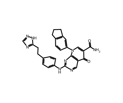 NC(=O)c1cn(-c2ccc3c(c2)CCC3)c2nc(Nc3ccc(CCc4ncn[nH]4)cc3)ncc2c1=O